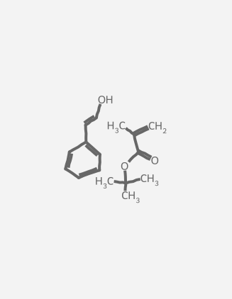 C=C(C)C(=O)OC(C)(C)C.OC=Cc1ccccc1